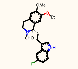 CCOc1cc2c(cc1OC)CCN([C]=O)[C@H]2CCc1c[nH]c2ccc(F)cc12